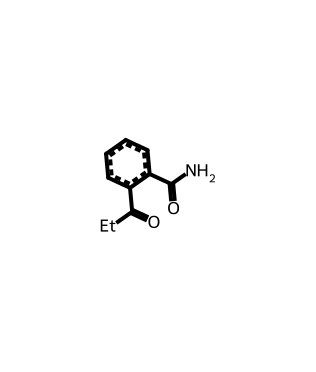 CCC(=O)c1ccccc1C(N)=O